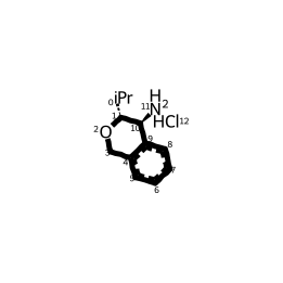 CC(C)[C@H]1OCc2ccccc2[C@@H]1N.Cl